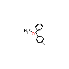 Cc1ccc(C(O[SiH3])c2ccccc2)cc1